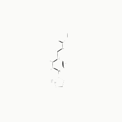 COC(=O)/C=C/c1ccc([C@H]2CCCN2)cc1.Cl